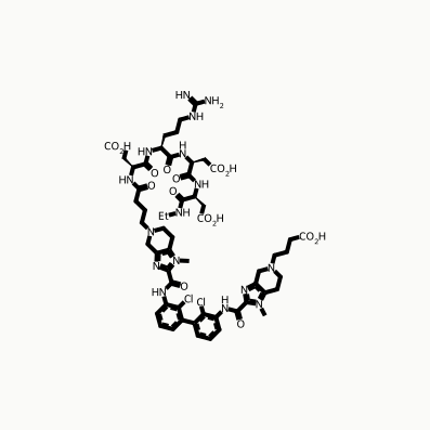 CCNC(=O)[C@H](CC(=O)O)NC(=O)[C@H](CC(=O)O)NC(=O)[C@H](CCCNC(=N)N)NC(=O)[C@H](CC(=O)O)NC(=O)CCCN1CCc2c(nc(C(=O)Nc3cccc(-c4cccc(NC(=O)c5nc6c(n5C)CCN(CCCC(=O)O)C6)c4Cl)c3Cl)n2C)C1